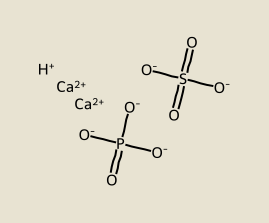 O=P([O-])([O-])[O-].O=S(=O)([O-])[O-].[Ca+2].[Ca+2].[H+]